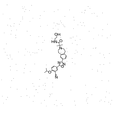 CC(C)Oc1ccc(-c2nc(-c3ccc4c(c3)CCN(C(C)(C)C(=O)N[C@H](C)CO)CC4)no2)cc1C#N